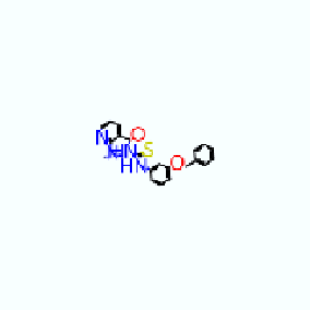 CN(C)c1ncccc1C(=O)NC(=S)Nc1cccc(OCc2ccccc2)c1